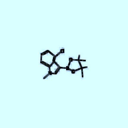 Cn1cc(B2OC(C)(C)C(C)(C)O2)c2c(Cl)cccc21